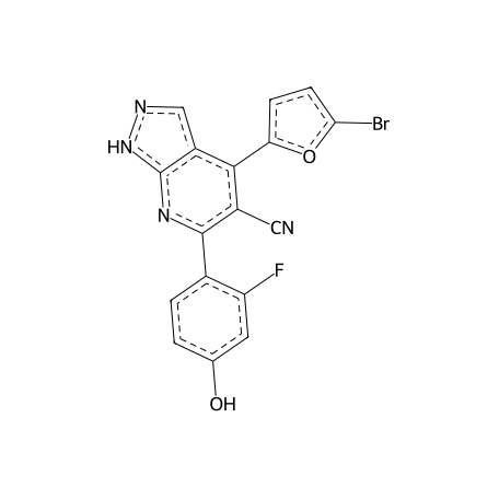 N#Cc1c(-c2ccc(O)cc2F)nc2[nH]ncc2c1-c1ccc(Br)o1